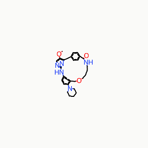 COc1cnc2nc1-c1ccc(cc1)C(=O)NCCCCOCc1cc(ccc1N1CCCCC1)N2